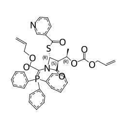 C=CCOC(=O)O[C@H](C)[C@H]1C(=O)N(C(C(=O)OCC=C)=P(c2ccccc2)(c2ccccc2)c2ccccc2)[C@@H]1SC(=O)c1cccnc1